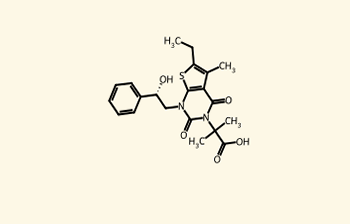 CCc1sc2c(c1C)c(=O)n(C(C)(C)C(=O)O)c(=O)n2C[C@@H](O)c1ccccc1